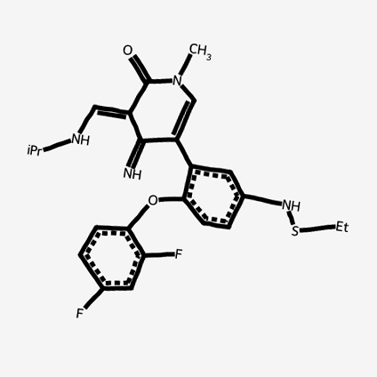 CCSNc1ccc(Oc2ccc(F)cc2F)c(C2=CN(C)C(=O)/C(=C/NC(C)C)C2=N)c1